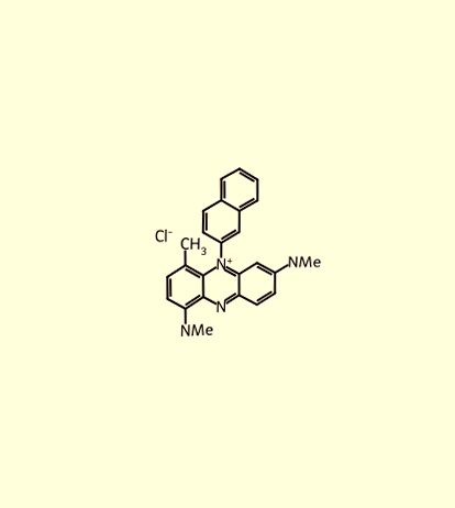 CNc1ccc2nc3c(NC)ccc(C)c3[n+](-c3ccc4ccccc4c3)c2c1.[Cl-]